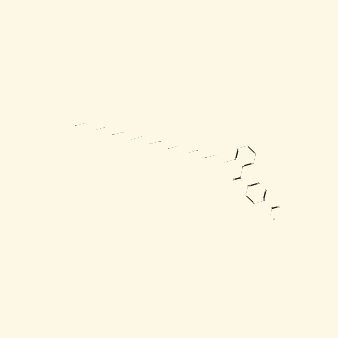 CCCCCCCCCCCCCCCCCCc1ccccc1C(=O)c1ccc(C(=O)O)cc1